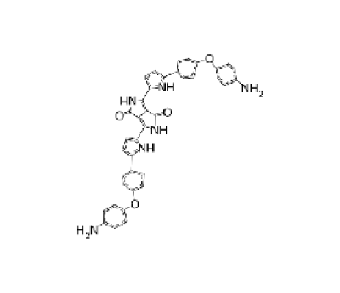 Nc1ccc(Oc2ccc(-c3ccc(C4=C5C(=O)NC(c6ccc(-c7ccc(Oc8ccc(N)cc8)cc7)[nH]6)=C5C(=O)N4)[nH]3)cc2)cc1